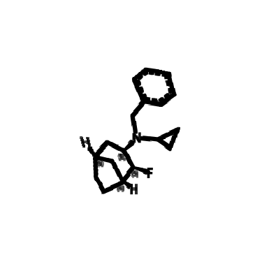 F[C@H]1[C@@H]2CC[C@@H](C2)C[C@H]1N(Cc1ccccc1)C1CC1